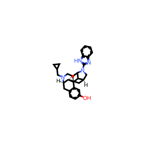 Oc1ccc2c(c1)[C@]13CCN(CC4CC4)[C@H](C2)[C@]12CCC1C3[C@@H](CN1c1nc3ccccc3[nH]1)C2